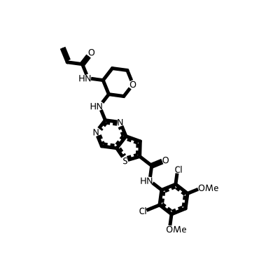 C=CC(=O)NC1CCOCC1Nc1ncc2sc(C(=O)Nc3c(Cl)c(OC)cc(OC)c3Cl)cc2n1